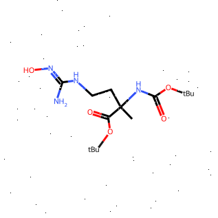 CC(C)(C)OC(=O)NC(C)(CCN/C(N)=N/O)C(=O)OC(C)(C)C